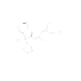 CCCC(CN(C)CC(=O)O)OC(=O)[C@](O)(c1ccccc1)C1CCCC1